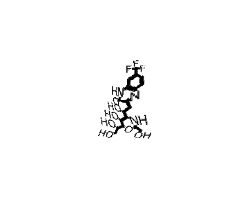 O=C(CO)N[C@@H](C(O)C[C@H](O)CO)[C@H](O)Cc1nc2ccc(C(F)(F)F)cc2[nH]c1=O